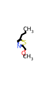 CCCc1cnc(COC)s1